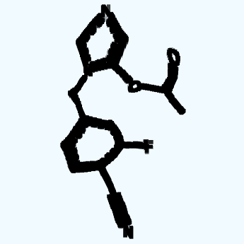 CC(=O)Oc1cncn1Cc1ccc(C#N)c(F)c1